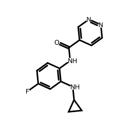 O=C(Nc1ccc(F)cc1NC1CC1)c1ccnnc1